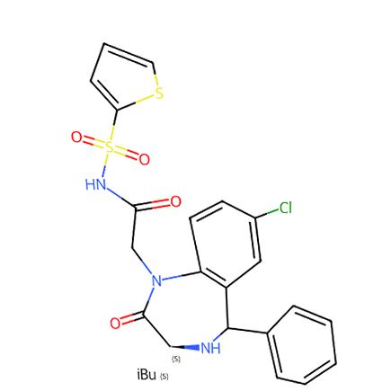 CC[C@H](C)[C@@H]1NC(c2ccccc2)c2cc(Cl)ccc2N(CC(=O)NS(=O)(=O)c2cccs2)C1=O